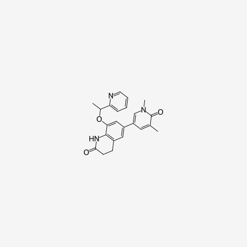 Cc1cc(-c2cc3c(c(OC(C)c4ccccn4)c2)NC(=O)CC3)cn(C)c1=O